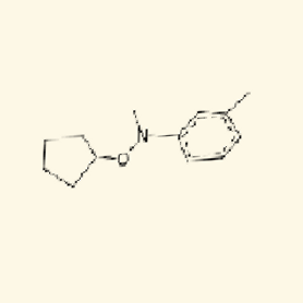 Cc1cccc(N(C)OC2CCCC2)c1